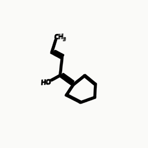 CC=CC(O)=C1CCCCC1